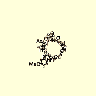 COc1ccc2nc3c(nc2c1)O[C@H]1CN(C(=O)[C@H](C2(C)COC2)NC(=O)O[C@@H]2C[C@H]2CCCCC3(F)F)[C@H](C(C)=O)[C@@H]1C